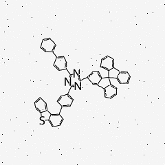 c1ccc(-c2ccc(-c3nc(-c4ccc(-c5cccc6sc7ccccc7c56)cc4)nc(-c4ccc5c(c4)-c4ccccc4C54c5ccccc5-c5ccccc54)n3)cc2)cc1